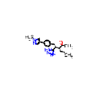 CCC[C@H](C(C)=O)[C@H](Cc1ccc(-c2cnn(C)c2)cc1)c1nnn[nH]1